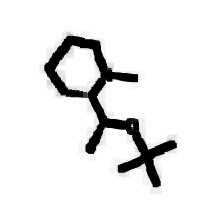 C[C@H](OC(C)(C)C)[C@@H]1CCCCN1C